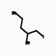 CC(C)CCC(CI)C(C)C